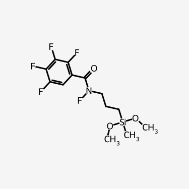 CO[Si](C)(CCCN(F)C(=O)c1cc(F)c(F)c(F)c1F)OC